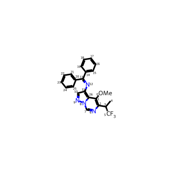 COc1c(C(C)C(F)(F)F)ncn2ncc(N=C(c3ccccc3)c3ccccc3)c12